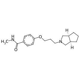 CNC(=O)c1ccc(OCCCN2C[C@H]3CCC[C@H]3C2)cc1